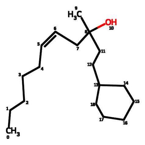 CCCCC/C=C\CC(C)(O)CCC1CCCCC1